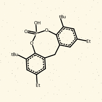 CCc1cc2c(c(C(C)(C)C)c1)OP(=O)(O)Oc1c(cc(CC)cc1C(C)(C)C)C2